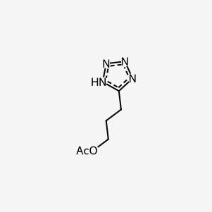 CC(=O)OCCCc1nnn[nH]1